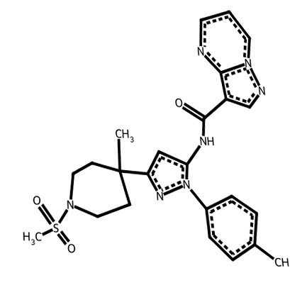 Cc1ccc(-n2nc(C3(C)CCN(S(C)(=O)=O)CC3)cc2NC(=O)c2cnn3cccnc23)cc1